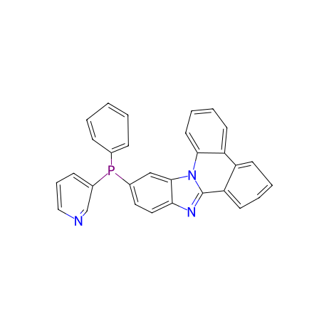 c1ccc(P(c2cccnc2)c2ccc3nc4c5ccccc5c5ccccc5n4c3c2)cc1